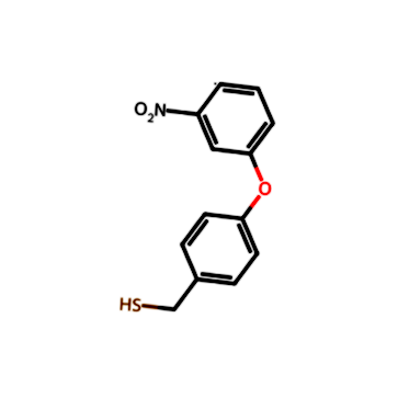 O=[N+]([O-])c1[c]ccc(Oc2ccc(CS)cc2)c1